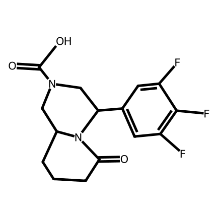 O=C(O)N1CC2CCCC(=O)N2C(c2cc(F)c(F)c(F)c2)C1